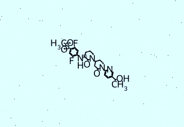 CC(O)c1ccc(N2CCC(N3CCC[C@H](Nc4cc(F)c(S(C)(=O)=O)cc4F)C3=O)CC2=O)nc1